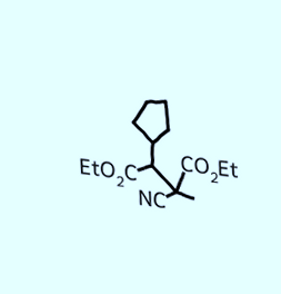 CCOC(=O)C(C1CCCC1)C(C)(C#N)C(=O)OCC